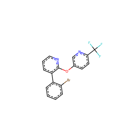 FC(F)(F)c1ccc(Oc2ncccc2-c2ccccc2Br)cn1